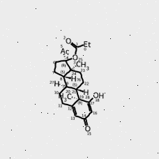 CCC(=O)O[C@]1(C(C)=O)CC[C@H]2[C@@H]3CCC4=CC(=O)C=C(O)[C@]4(C)[C@H]3CC[C@@]21C